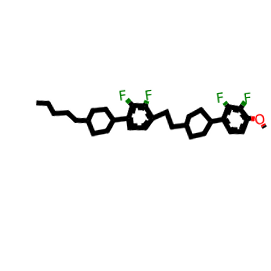 CCCCCC1CCC(c2ccc(CCC3CCC(c4ccc(OC)c(F)c4F)CC3)c(F)c2F)CC1